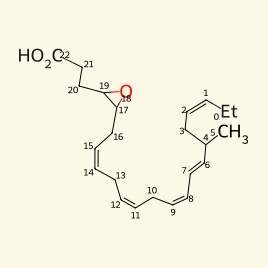 CC/C=C\CC(C)/C=C/C=C\C/C=C\C/C=C\CC1OC1CCC(=O)O